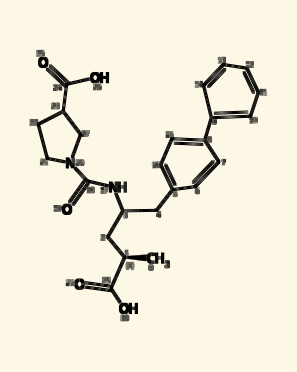 C[C@H](CC(Cc1ccc(-c2ccccc2)cc1)NC(=O)N1CCC(C(=O)O)C1)C(=O)O